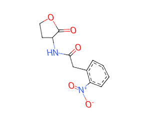 O=C(Cc1ccccc1[N+](=O)[O-])NC1CCOC1=O